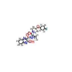 O=C(N[C@H](C(=O)N1CCC(Oc2ccc(F)cc2)CC1)C1CC1)c1nc2ccccc2nc1O